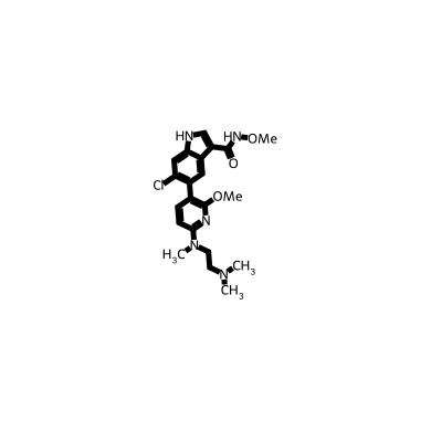 CONC(=O)c1c[nH]c2cc(Cl)c(-c3ccc(N(C)CCN(C)C)nc3OC)cc12